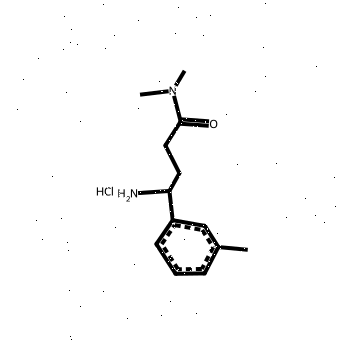 Cc1cccc(C(N)CCC(=O)N(C)C)c1.Cl